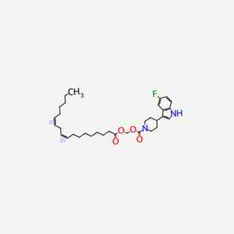 CCCCC/C=C\C/C=C\CCCCCCCC(=O)OCOC(=O)N1CCC(c2c[nH]c3ccc(F)cc23)CC1